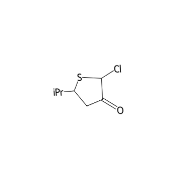 [CH2]C(C)C1CC(=O)C(Cl)S1